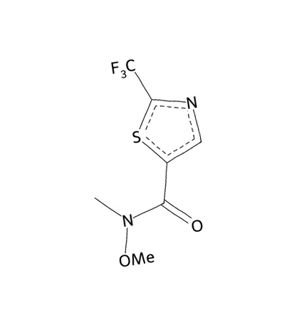 CON(C)C(=O)c1cnc(C(F)(F)F)s1